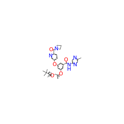 Cc1cnc(NC(=O)c2cc(Oc3ccc(C(=O)N4CCC4)nc3)cc(O[C@@H](C)CO[Si](C)(C)C(C)(C)C)c2)cn1